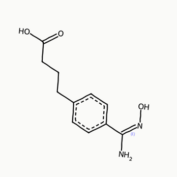 N/C(=N/O)c1ccc(CCCC(=O)O)cc1